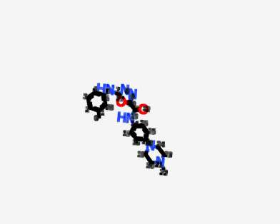 Cc1cccc(Nc2nnc(C(=O)Nc3ccc(N4CCN(C)CC4)cc3)o2)c1